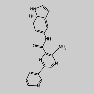 Nc1ncc(-c2cccnc2)nc1C(=O)NC1=CC[C@H]2NC=CC2=C1